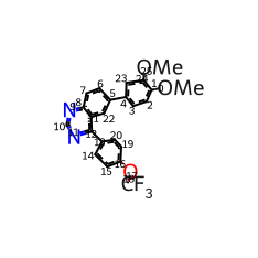 COc1ccc(-c2ccc3ncnc(-c4ccc(OC(F)(F)F)cc4)c3c2)cc1OC